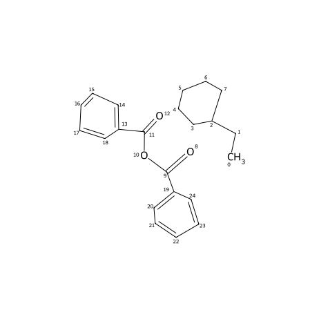 CCC1CCCCC1.O=C(OC(=O)c1ccccc1)c1ccccc1